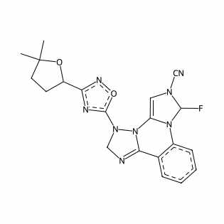 CC1(C)CCC(c2noc(N3CN=C4c5ccccc5N5C(=CN(C#N)C5F)N43)n2)O1